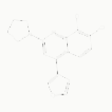 Clc1ccc2c(-c3ccoc3)cc(N3CCCC3)nc2c1Cl